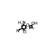 N#Cc1cc(N)c(OC2CCC2O)cc1Cl